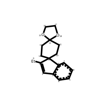 CCC1=Cc2ccccc2C12CCC1(CC2)OCCO1